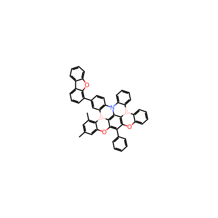 Cc1cc(C)c2c(c1)Oc1c3c4c5c(c1-c1ccccc1)Oc1ccccc1B5c1ccccc1N4c1ccc(-c4cccc5c4oc4ccccc45)cc1B23